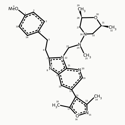 COc1ccc(CCc2nc3cc(-c4c(C)noc4C)cnc3n2CN(C)N2C[C@@H](C)O[C@@H](C)C2)cc1